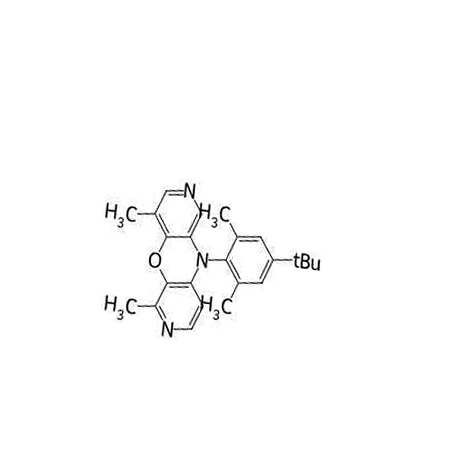 Cc1cncc2c1Oc1c(ccnc1C)N2c1c(C)cc(C(C)(C)C)cc1C